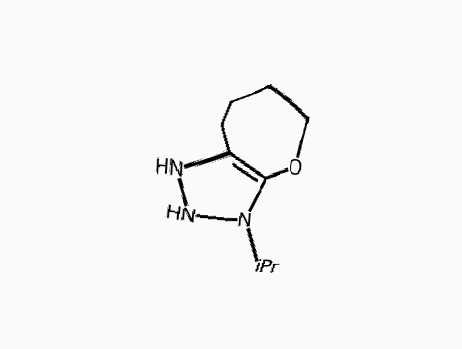 CC(C)N1NNC2=C1OCCC2